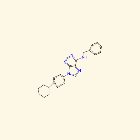 c1ccc(CNc2ncnc3c2ncn3-c2ccc(C3CCCCC3)cc2)cc1